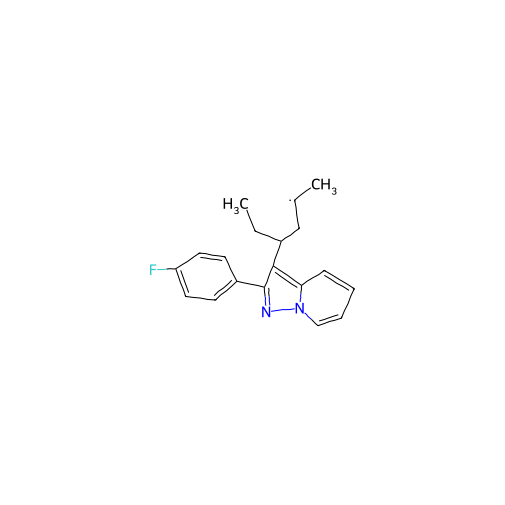 C[CH]CC(CC)c1c(-c2ccc(F)cc2)nn2ccccc12